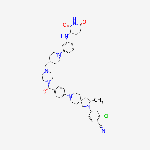 CC1CC2(CCN(c3ccc(C(=O)N4CCN(CC5CCN(c6cccc(NC7CCC(=O)NC7=O)c6)CC5)CC4)cc3)CC2)CN1c1ccc(C#N)c(Cl)c1